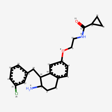 NC1CCc2ccc(OCCNC(=O)C3CC3)cc2C1Cc1cccc(Cl)c1